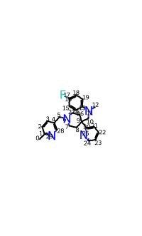 Cc1ccc(CN2CCC(CN(C)c3ccc(F)cc3)(c3ccccn3)CC2)cn1